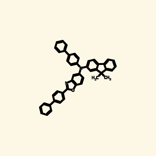 CC1(C)c2ccccc2-c2ccc(N(c3ccc(-c4ccccc4)cc3)c3ccc4oc(-c5ccc(-c6ccccc6)cc5)nc4c3)cc21